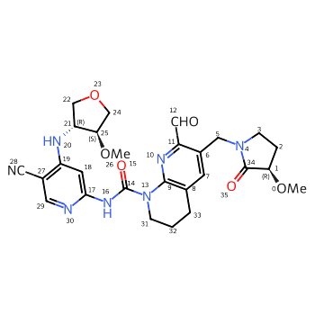 CO[C@@H]1CCN(Cc2cc3c(nc2C=O)N(C(=O)Nc2cc(N[C@@H]4COC[C@H]4OC)c(C#N)cn2)CCC3)C1=O